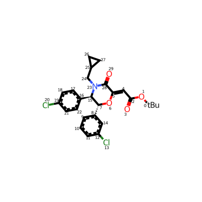 CC(C)(C)OC(=O)C=C1O[C@H](c2cccc(Cl)c2)[C@@H](c2ccc(Cl)cc2)N(CC2CC2)C1=O